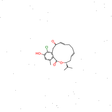 Cc1cc(O)c(Cl)c2c1C(=O)O[C@H](C(C)C)C/C=C/CC/C=C/C(=O)C2